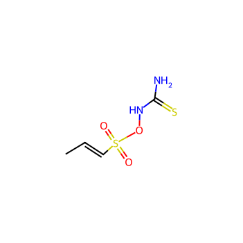 CC=CS(=O)(=O)ONC(N)=S